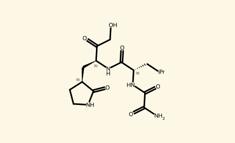 CC(C)C[C@H](NC(=O)C(N)=O)C(=O)N[C@@H](C[C@@H]1CCNC1=O)C(=O)CO